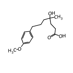 COc1ccc(CCCC(C)(O)CCC(=O)O)cc1